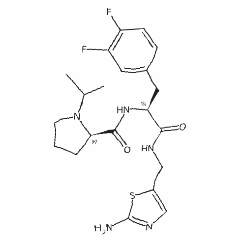 CC(C)N1CCC[C@@H]1C(=O)N[C@@H](Cc1ccc(F)c(F)c1)C(=O)NCc1cnc(N)s1